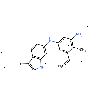 C=Cc1cc(Nc2ccc3c(CC)c[nH]c3c2)cc(N)c1C